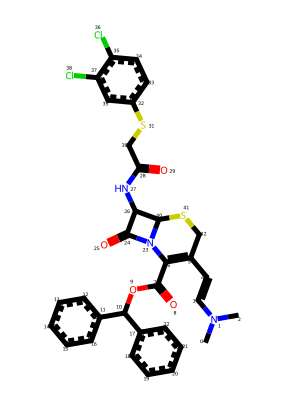 CN(C)C=CC1=C(C(=O)OC(c2ccccc2)c2ccccc2)N2C(=O)C(NC(=O)CSc3ccc(Cl)c(Cl)c3)C2SC1